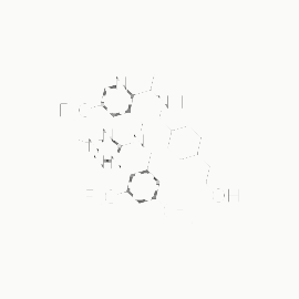 CC(NCC1CCC(CCO)CC1)c1ncc(C(F)(F)F)cc1CN(Cc1cc(C(F)(F)F)cc(C(F)(F)F)c1)c1nnn(C)n1